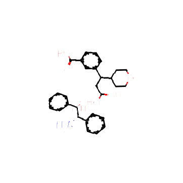 N[C@@H](c1ccccc1)[C@H](O)c1ccccc1.O=C(O)c1cccc(C(CC(O)O)C2CCOCC2)c1